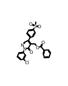 CS(=O)(=O)c1ccc(-c2cnn(-c3cccc(Cl)c3)c(=O)c2COC(=O)c2ccccc2)cc1